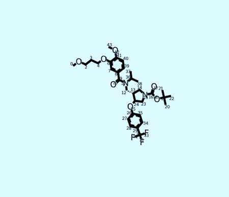 COCCCOc1cc(C(=O)N(C[C@@H]2CN(C(=O)OC(C)(C)C)CC2Oc2ccc(C(F)(F)F)cc2)C(C)C)ccc1OC